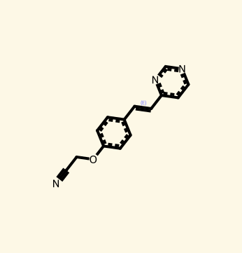 N#CCOc1ccc(/C=C/c2ccncn2)cc1